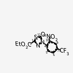 CCOC(=O)c1nn(-c2ccc(C(F)(F)F)cc2[N+](=O)[O-])c(=O)s1